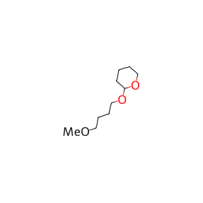 COCCCCOC1CCCCO1